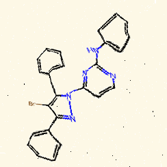 Brc1c(-c2ccccc2)nn(-c2ccnc(Nc3ccccc3)n2)c1-c1ccccc1